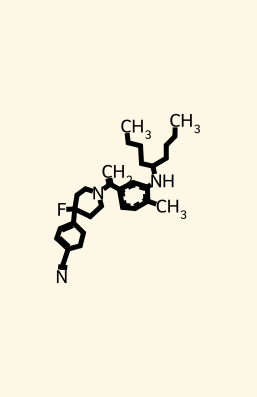 C=C(c1ccc(C)c(NC(CCCC)CCCC)c1)N1CCC(F)(C2=CC=C(C#N)CC2)CC1